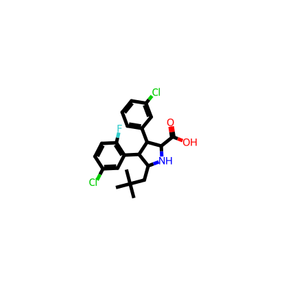 CC(C)(C)CC1NC(C(=O)O)C(c2cccc(Cl)c2)C1c1cc(Cl)ccc1F